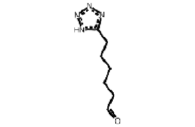 O=CCCCCCc1nnn[nH]1